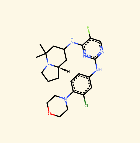 CC1(C)CC(Nc2nc(Nc3ccc(N4CCOCC4)c(Cl)c3)ncc2F)C[C@@H]2CCCN21